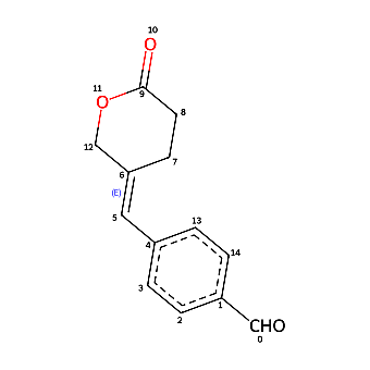 O=Cc1ccc(/C=C2\CCC(=O)OC2)cc1